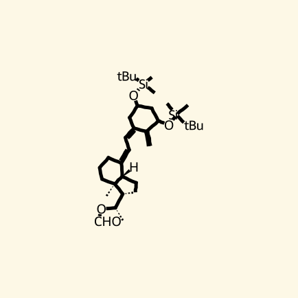 C=C1/C(=C\C=C2/CCC[C@]3(C)[C@@H]([C@H](C)OC=O)CC[C@@H]23)CC(O[Si](C)(C)C(C)(C)C)CC1O[Si](C)(C)C(C)(C)C